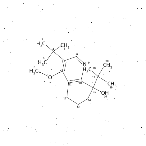 COc1c(C(C)(C)C)cnc2c1CCCC2(O)C(C)(C)C